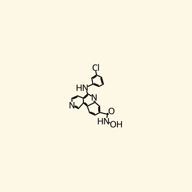 O=C(NO)c1ccc2c(c1)nc(Nc1cccc(Cl)c1)c1ccncc12